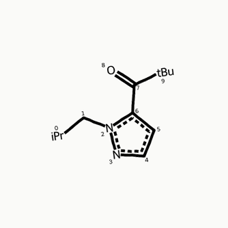 CC(C)Cn1nccc1C(=O)C(C)(C)C